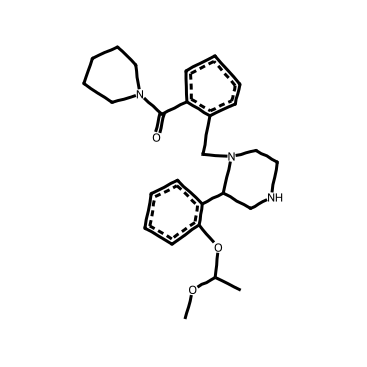 COC(C)Oc1ccccc1C1CNCCN1Cc1ccccc1C(=O)N1CCCCC1